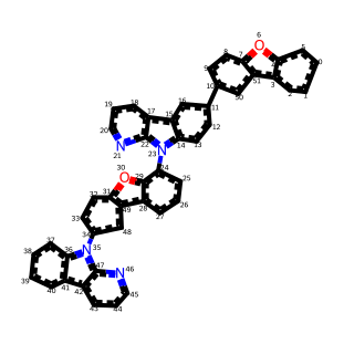 c1ccc2c(c1)oc1ccc(-c3ccc4c(c3)c3cccnc3n4-c3cccc4c3oc3ccc(-n5c6ccccc6c6cccnc65)cc34)cc12